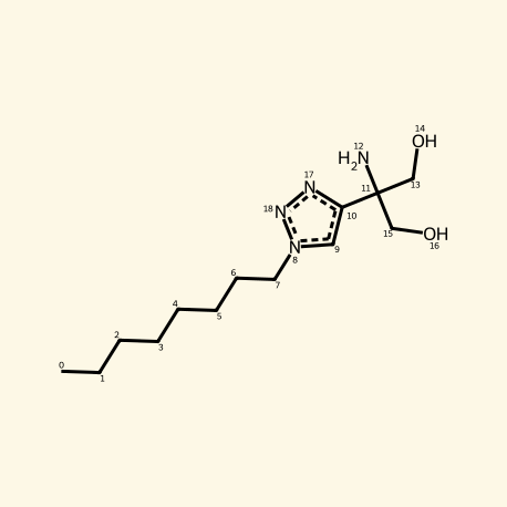 CCCCCCCCn1cc(C(N)(CO)CO)nn1